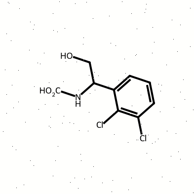 O=C(O)NC(CO)c1cccc(Cl)c1Cl